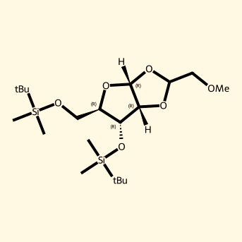 COCC1O[C@H]2O[C@H](CO[Si](C)(C)C(C)(C)C)[C@@H](O[Si](C)(C)C(C)(C)C)[C@H]2O1